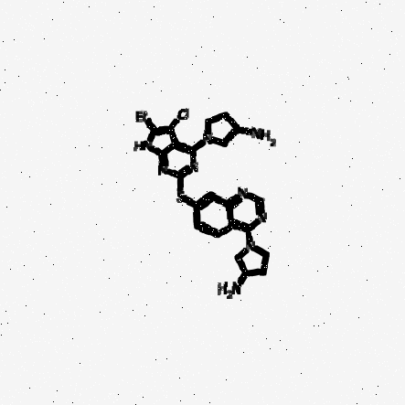 CCc1[nH]c2nc(Sc3ccc4c(N5CCC(N)C5)ncnc4c3)nc(N3CCC(N)C3)c2c1Cl